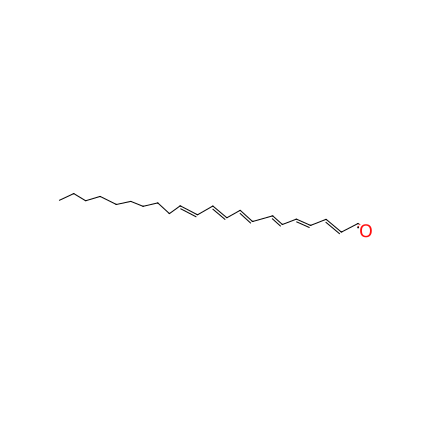 CCCCCCCCCC=CC=CC=CC=CC=CC=C[C]=O